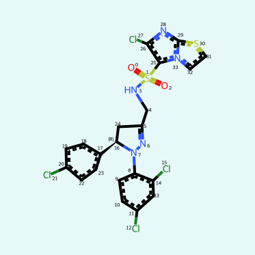 O=S(=O)(NCC1=NN(c2ccc(Cl)cc2Cl)[C@@H](c2ccc(Cl)cc2)C1)c1c(Cl)nc2sccn12